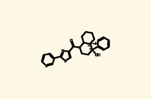 O=C(c1csc(-c2cccnc2)n1)N1CC[C@@](O)(c2ccccc2)[C@@H]2CCCCC21